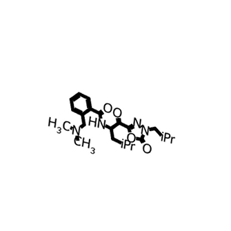 CC(C)CC(NC(=O)c1ccccc1CN(C)C)C(=O)c1nn(CC(C)C)c(=O)o1